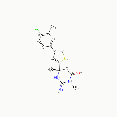 Cc1cc(-c2csc([C@]3(C)CC(=O)N(C)C(=N)N3)c2)ccc1Cl